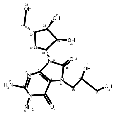 Nc1nc2c(c(=O)n1N)n(CC(O)CO)c(=O)n2[C@@H]1O[C@H](CO)[C@@H](O)[C@H]1O